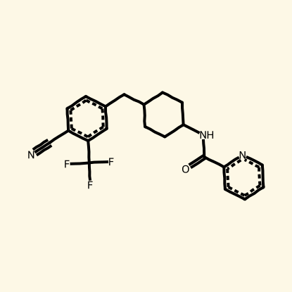 N#Cc1ccc(CC2CCC(NC(=O)c3ccccn3)CC2)cc1C(F)(F)F